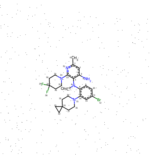 Cc1cc(N)c(N(C=O)c2ccc(Br)cc2N2CCC3(CC2)CC3)c(N2CCC(F)(F)CC2)n1